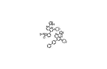 O=C(NC1CC1)c1cccc(-c2cc(N3CCOCC3)nc3c(-c4ccn[nH]4)nccc23)c1.c1ccc(-c2ccc(-c3cc(N4CCOCC4)nc4c(-c5ccn[nH]5)nccc34)cc2)cc1